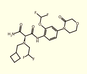 NC(=O)[C@@H](C(=O)Nc1ccc(N2CCOCC2=O)cc1OC(F)F)N(CC(F)F)CC1CCC1